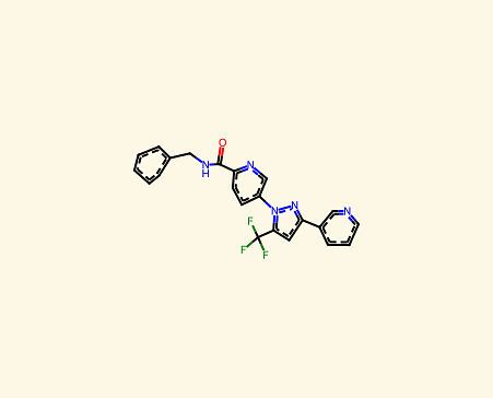 O=C(NCc1ccccc1)c1ccc(-n2nc(-c3cccnc3)cc2C(F)(F)F)cn1